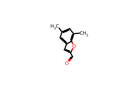 Cc1cc(C)c2oc(C=O)cc2c1